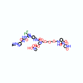 O=C1CCC(N2C(=O)c3cccc(NCCOCCOCCOCC(=O)N4C[C@H](OC(=O)[C@@H]5CCCN5C(=O)O)C[C@H]4C(=O)NCc4ccc(-n5cc(NC(=O)c6coc(-c7ccnc(NCC8CC8)c7)n6)c(C(F)F)n5)cc4)c3C2=O)C(=O)N1